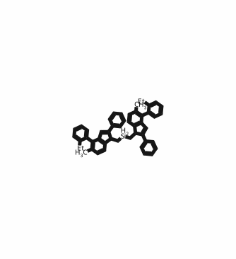 CCc1ccccc1-c1c(C)ccc2c1C=C(c1ccccc1)C2C[SiH2]CC1C(c2ccccc2)=Cc2c1ccc(C)c2-c1ccccc1CC